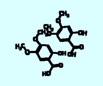 COc1cc(O)c(C(=O)O)cc1OC.COc1cc(O)c(C(=O)O)cc1OC